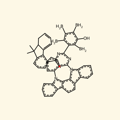 Bc1c(B)c(O)c(B)c(-c2nc(-c3cccc4c3C3=CC=CCC3C4(C)C)nc(-n3c4ccccc4c4ccc5c6ccccc6n(-c6ccccc6)c5c43)n2)c1B